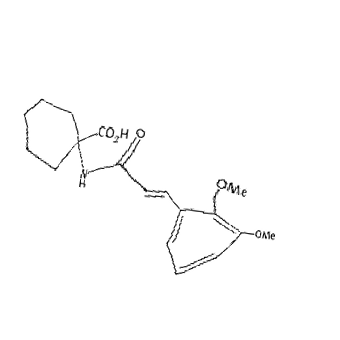 COc1cccc(/C=C/C(=O)NC2(C(=O)O)CCCCC2)c1OC